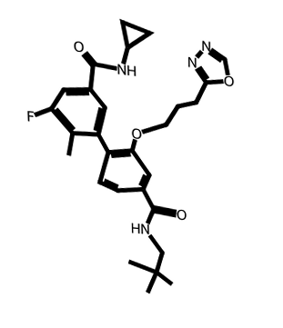 Cc1c(F)cc(C(=O)NC2CC2)cc1-c1ccc(C(=O)NCC(C)(C)C)cc1OCCCc1nnco1